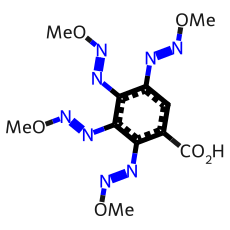 CON=Nc1cc(C(=O)O)c(N=NOC)c(N=NOC)c1N=NOC